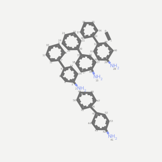 C=C.Nc1ccc(-c2ccccc2)cc1.Nc1ccc(-c2ccccc2)cc1.Nc1ccc(-c2ccccc2)cc1.Nc1ccc(-c2ccccc2)cc1